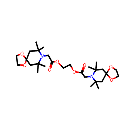 CC1(C)CC2(CC(C)(C)N1CC(=O)OCCOC(=O)CN1C(C)(C)CC3(CC1(C)C)OCCO3)OCCO2